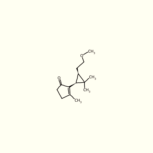 COCC[C@@H]1[C@H](C2=C(C)CCC2=O)C1(C)C